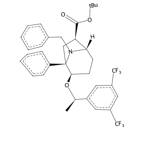 C[C@@H](O[C@@H]1CC[C@H]2[C@H](C(=O)OC(C)(C)C)C[C@]1(c1ccccc1)N2Cc1ccccc1)c1cc(C(F)(F)F)cc(C(F)(F)F)c1